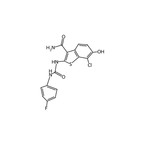 NC(=O)c1c(NC(=O)Nc2ccc(F)cc2)sc2c(Cl)c(O)ccc12